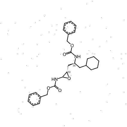 O=C(NC1O[C@H]1C[C@H](CC1CCCCC1)NC(=O)OCc1ccccc1)OCc1ccccc1